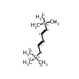 C[Si](C)(C)C=C/[C]=C/C[Si](C)(C)C